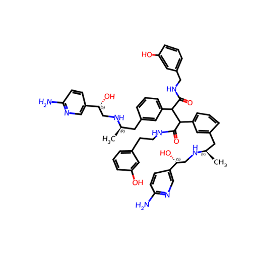 C[C@H](Cc1cccc(C(C(=O)NCCc2cccc(O)c2)C(C(=O)NCc2cccc(O)c2)c2cccc(C[C@@H](C)NC[C@@H](O)c3ccc(N)nc3)c2)c1)NC[C@@H](O)c1ccc(N)nc1